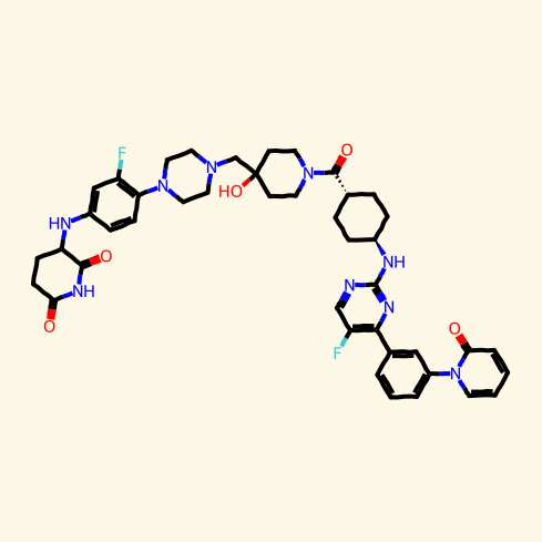 O=C1CCC(Nc2ccc(N3CCN(CC4(O)CCN(C(=O)[C@H]5CC[C@H](Nc6ncc(F)c(-c7cccc(-n8ccccc8=O)c7)n6)CC5)CC4)CC3)c(F)c2)C(=O)N1